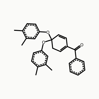 Cc1ccc(OC2(Oc3ccc(C)c(C)c3)C=CC(C(=O)c3ccccc3)=CC2)cc1C